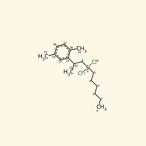 CCCCCC[Si](Cl)(Cl)CC(C)c1cc(C)ccc1C